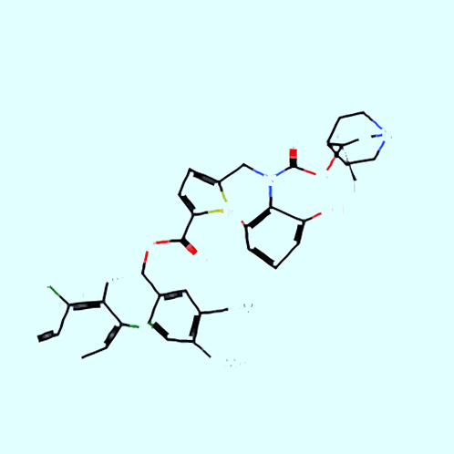 C=C/C(Cl)=C(C[C@H](OC(=O)c1ccc(CN(C(=O)O[C@H]2CN3CCC2CC3)c2c(O)cccc2O)s1)c1ccc(OC)c(OC)c1)\C(Cl)=C/C